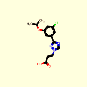 CC(C)Oc1cc(Cl)cc(-c2ncn(C=CC(=O)O)n2)c1